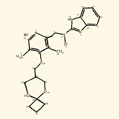 Cc1cnc(C[S+]([O-])c2nc3ccccc3[nH]2)c(C)c1OCC1COC2(CCC2)OC1.[Na]